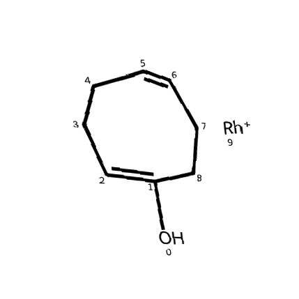 OC1=CCCC=CCC1.[Rh+]